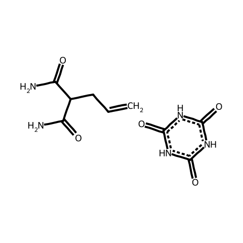 C=CCC(C(N)=O)C(N)=O.O=c1[nH]c(=O)[nH]c(=O)[nH]1